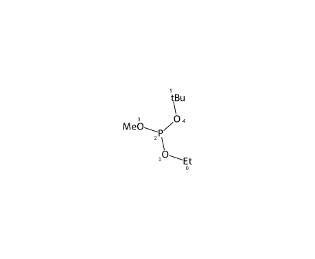 CCOP(OC)OC(C)(C)C